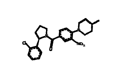 CC1CCN(c2ccc(C(=O)N3CCC[C@@H]3c3ccccc3Cl)cc2[N+](=O)[O-])CC1